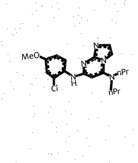 CCCN(CCC)c1cc(Nc2ccc(OC)cc2Cl)nc2nccn12